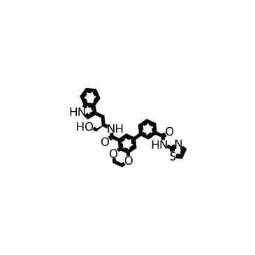 O=C(Nc1nccs1)c1cccc(-c2cc3c(c(C(=O)N[C@@H](CO)Cc4c[nH]c5ccccc45)c2)OCCO3)c1